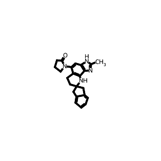 Cc1nc2c3c(c(N4CCCC4=O)cc2[nH]1)CCC1(Cc2ccccc2C1)N3